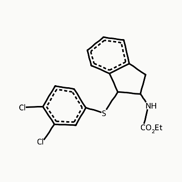 CCOC(=O)NC1Cc2ccccc2C1Sc1ccc(Cl)c(Cl)c1